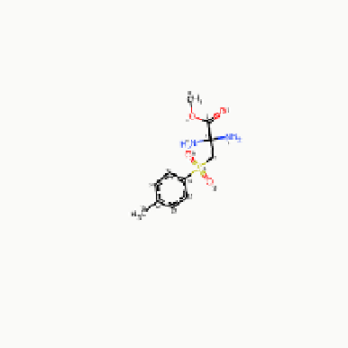 COC(=O)C(N)(N)CS(=O)(=O)c1ccc(C)cc1